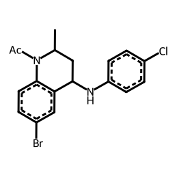 CC(=O)N1c2ccc(Br)cc2C(Nc2ccc(Cl)cc2)CC1C